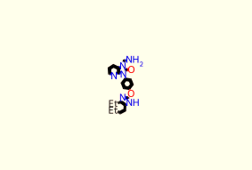 CC/C=C\c1[nH]c(Oc2ccc(-n3c(=O)n(CN)c4cccnc43)cc2)nc1CC